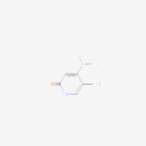 Cc1c[nH]c(=O)cc1B(O)O